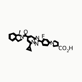 C[C@@H]1c2ccccc2CCN1C(=O)c1cc(C2CC2)n2nc(-c3ccc(N4CC[C@H](C(=O)O)C4)cc3F)nc2c1